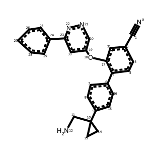 N#Cc1ccc(-c2ccc(C3(CN)CC3)cc2)c(Oc2cnnc(-c3ccccc3)c2)c1